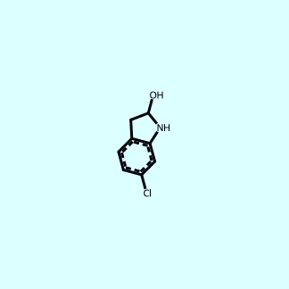 OC1Cc2ccc(Cl)cc2N1